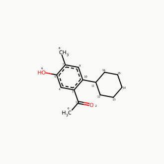 CC(=O)c1cc(O)c(C)cc1C1CCCCC1